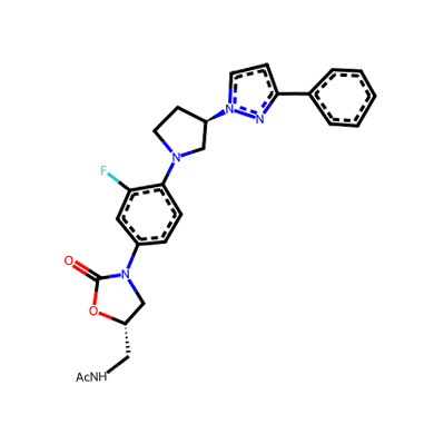 CC(=O)NC[C@H]1CN(c2ccc(N3CC[C@@H](n4ccc(-c5ccccc5)n4)C3)c(F)c2)C(=O)O1